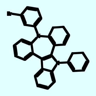 Brc1cccc(N2C3=C(C=CCC3)c3c(c4ccccc4n3C3=CC=CCC3)-c3ccccc32)c1